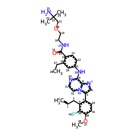 C=CCc1c(-c2cnc3c(Nc4ccc(C(=O)NCCOCC(C)(C)N)c(CC)c4)nccn23)ccc(OC)c1F